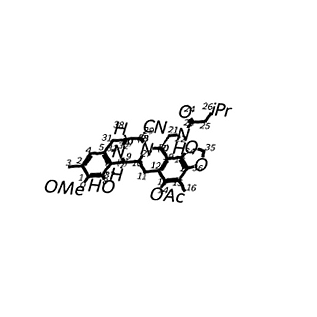 COc1c(C)cc2c(c1O)[C@@H]1C3Cc4c(OC(C)=O)c(C)c5c(c4[C@H](CNC(=O)CC(C)C)N3[C@@H](C#N)[C@H](C2)N1C)OCO5